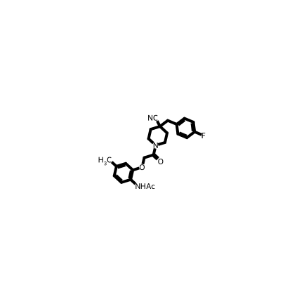 CC(=O)Nc1ccc(C)cc1OCC(=O)N1CCC(C#N)(Cc2ccc(F)cc2)CC1